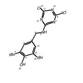 CC(C)(C)c1cc(CNc2nc(Cl)nc(Cl)n2)cc(C(C)(C)C)c1O